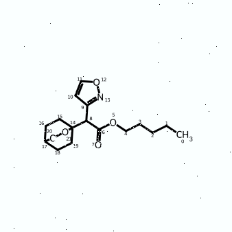 CCCCCOC(=O)C(c1ccon1)C12CCC(CC1)CO2